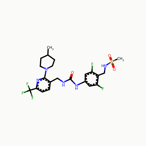 CC1CCN(c2nc(C(F)(F)F)ccc2CNC(=O)Nc2cc(F)c(CNS(C)(=O)=O)c(F)c2)CC1